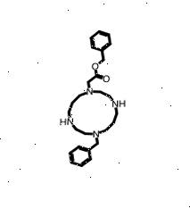 O=C(CN1CCCNCCN(Cc2ccccc2)CCCNCC1)OCc1ccccc1